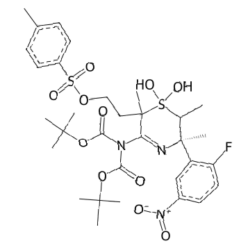 Cc1ccc(S(=O)(=O)OCCC2(C)C(N(C(=O)OC(C)(C)C)C(=O)OC(C)(C)C)=N[C@](C)(c3cc([N+](=O)[O-])ccc3F)C(C)S2(O)O)cc1